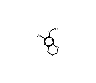 CCCOc1cc2c(cc1C(C)=O)SCCO2